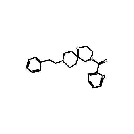 O=C(c1ccccn1)N1CCOC2(CCN(CCc3ccccc3)CC2)C1